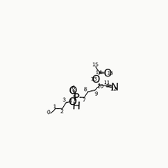 CCCCO[PH](=O)CCCC(C#N)OC(C)=O